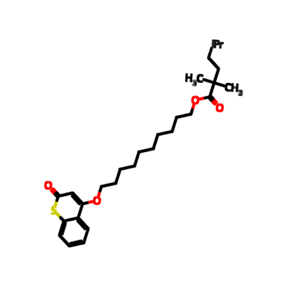 CC(C)CCC(C)(C)C(=O)OCCCCCCCCCCOc1cc(=O)sc2ccccc12